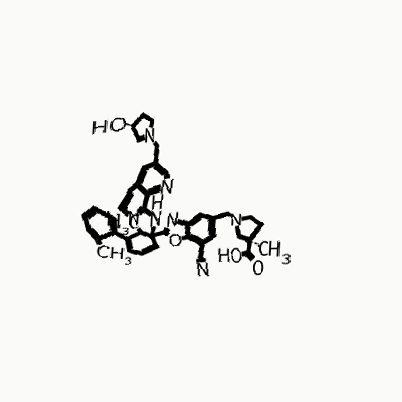 Cc1ccccc1C1=CC=CC(Nc2nccc3cc(CN4CC[C@@H](O)C4)cnc23)(c2nc3cc(CN4CC[C@@](C)(C(=O)O)C4)cc(C#N)c3o2)C1C